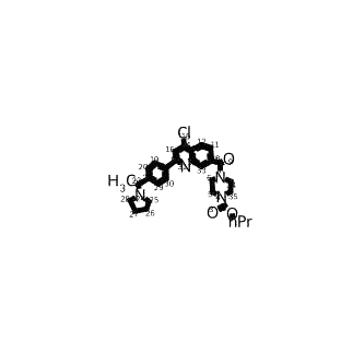 CCCOC(=O)N1CCN(C(=O)c2ccc3c(Cl)cc(-c4ccc(C(C)N5CCCC5)cc4)nc3c2)CC1